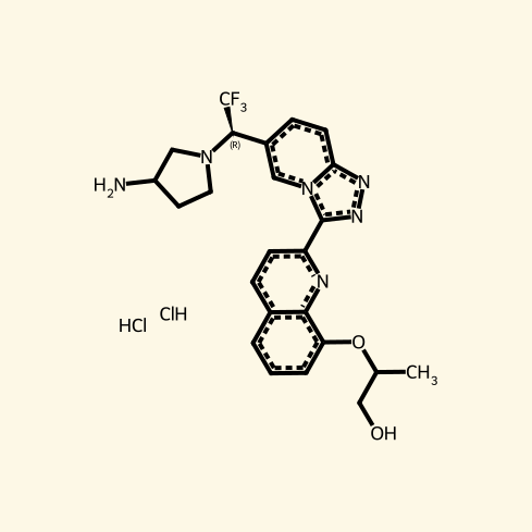 CC(CO)Oc1cccc2ccc(-c3nnc4ccc([C@@H](N5CCC(N)C5)C(F)(F)F)cn34)nc12.Cl.Cl